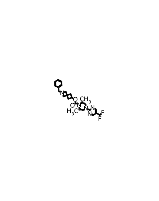 C[C@@H]1CN(c2ncc(C(F)F)cn2)C[C@H](C)N1C(=O)OC1CC2(C1)CN(Cc1ccccc1)C2